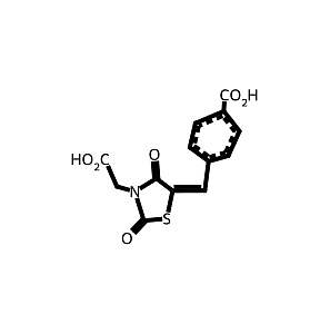 O=C(O)CN1C(=O)SC(=Cc2ccc(C(=O)O)cc2)C1=O